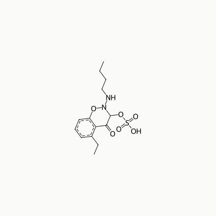 CCCCNN1Oc2cccc(CC)c2C(=O)C1OS(=O)(=O)O